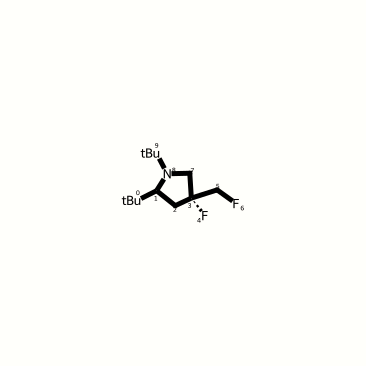 CC(C)(C)C1C[C@](F)(CF)CN1C(C)(C)C